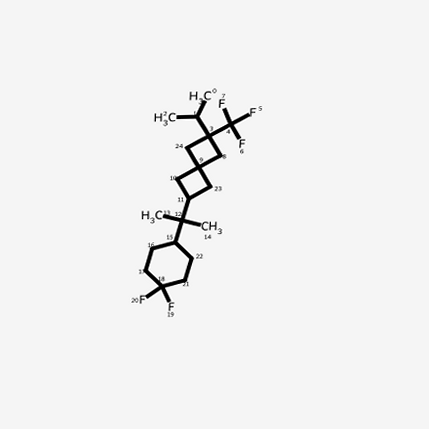 CC(C)C1(C(F)(F)F)CC2(CC(C(C)(C)C3CCC(F)(F)CC3)C2)C1